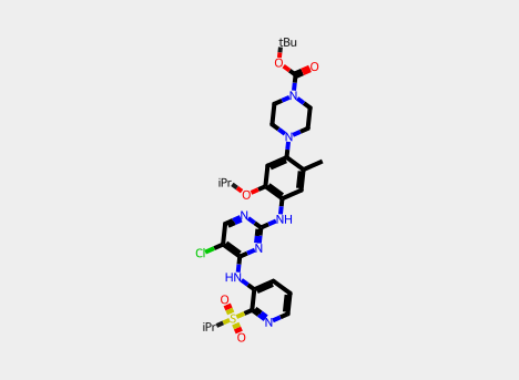 Cc1cc(Nc2ncc(Cl)c(Nc3cccnc3S(=O)(=O)C(C)C)n2)c(OC(C)C)cc1N1CCN(C(=O)OC(C)(C)C)CC1